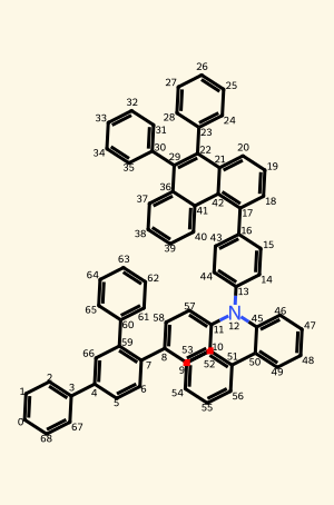 c1ccc(-c2ccc(-c3ccc(N(c4ccc(-c5cccc6c(-c7ccccc7)c(-c7ccccc7)c7ccccc7c56)cc4)c4ccccc4-c4ccccc4)cc3)c(-c3ccccc3)c2)cc1